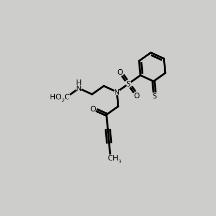 CC#CC(=O)CN(CCNC(=O)O)S(=O)(=O)C1=CC=CCC1=S